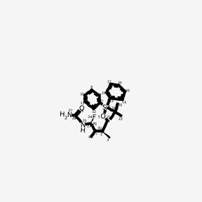 CC([C@H](C)CO[Si](c1ccccc1)(c1ccccc1)C(C)(C)C)[C@@H](F)NC(N)=O